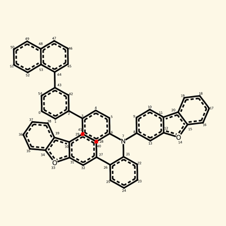 c1cc(-c2ccc(N(c3ccc4c(c3)oc3ccccc34)c3ccccc3-c3ccc4c(c3)oc3ccccc34)cc2)cc(-c2cccc3ccccc23)c1